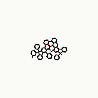 CC1C=CC=C(C2(c3ccccc3)c3ccccc3-c3c(-c4ccccc4N(c4ccc5c(c4)C(C)(c4ccccc4)c4ccccc4-5)c4ccccc4-c4cccc5cccc(-c6ccccc6)c45)cccc32)C1